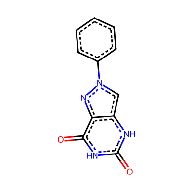 O=c1[nH]c(=O)c2nn(-c3ccccc3)cc2[nH]1